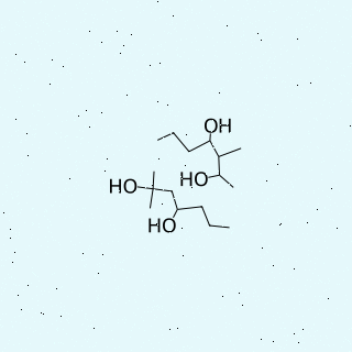 CCCC(O)C(C)C(C)O.CCCC(O)CC(C)(C)O